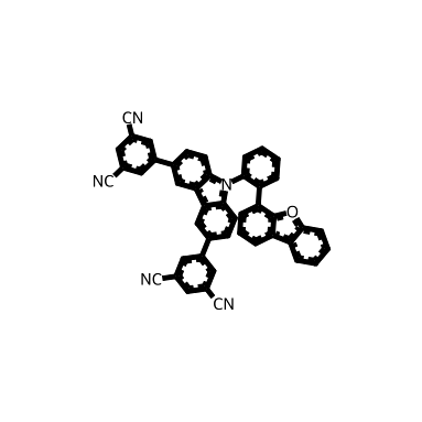 N#Cc1cc(C#N)cc(-c2ccc3c(c2)c2cc(-c4cc(C#N)cc(C#N)c4)ccc2n3-c2ccccc2-c2cccc3c2oc2ccccc23)c1